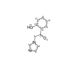 O=C(Cn1ccnc1)c1ccccc1O